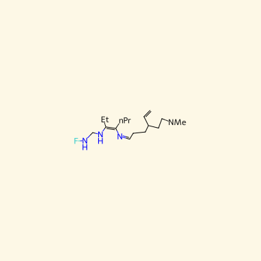 C=CC(CC/C=N\C(CCC)=C(\CC)NCNF)CCNC